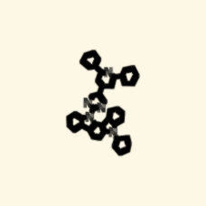 c1ccc(-c2cc(-c3cnc(-n4c5ccccc5c5ccc6c(c7ccccc7n6-c6ccccc6)c54)nc3)cc(-c3ccccc3)n2)cc1